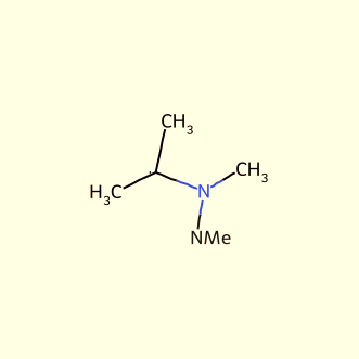 CNN(C)[C](C)C